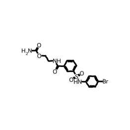 NC(=O)OCCNC(=O)c1cccc(S(=O)(=O)Nc2ccc(Br)cc2)c1